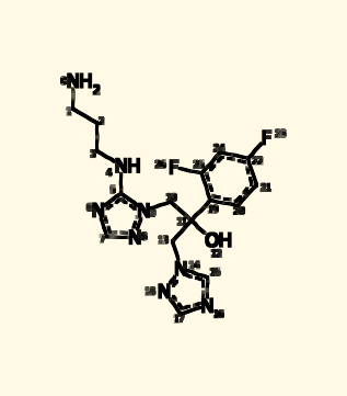 NCCCNc1ncnn1CC(O)(Cn1cncn1)c1ccc(F)cc1F